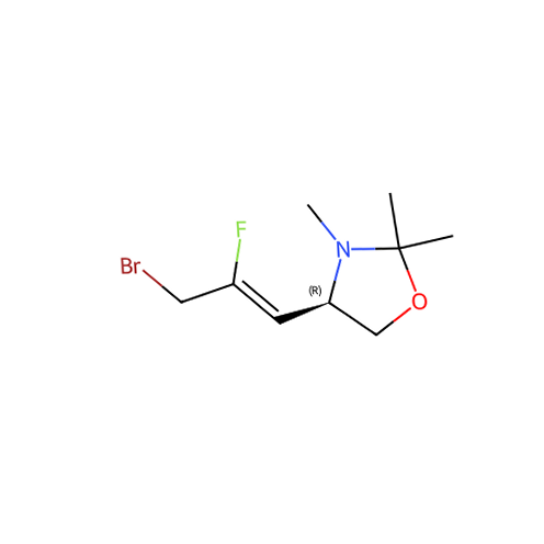 CN1[C@H](C=C(F)CBr)COC1(C)C